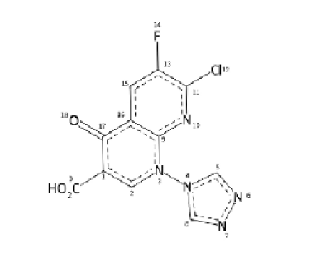 O=C(O)c1cn(-n2cnnc2)c2nc(Cl)c(F)cc2c1=O